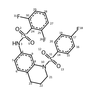 O=S(=O)(Nc1ccc2c(c1)N(S(=O)(=O)c1ccc(F)cc1)CCC2)c1c(F)cccc1F